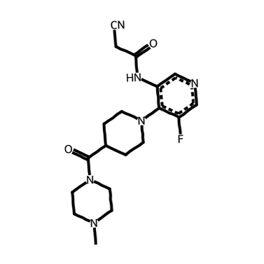 CN1CCN(C(=O)C2CCN(c3c(F)cncc3NC(=O)CC#N)CC2)CC1